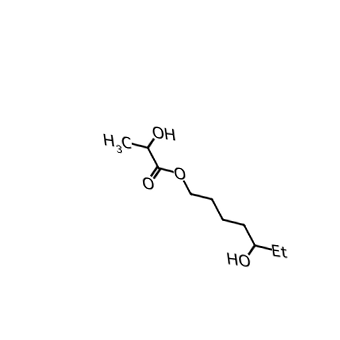 CCC(O)CCCCOC(=O)C(C)O